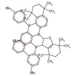 CC1(C)CCC(C)(C)C2=C1SC1B3c4ccc5c(c4N(c4ccc(C(C)(C)C)cc4)c4cc(C(C)(C)C)cc(c43)N(c3ccc(C(C)(C)C)cc3-c3ccccc3)C21)C(C)(C)CCC5(C)C